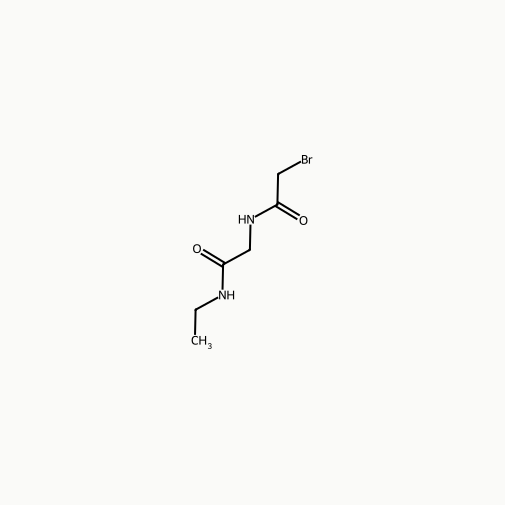 CCNC(=O)CNC(=O)CBr